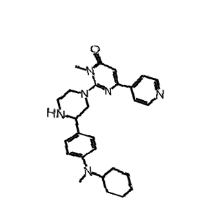 CN(c1ccc(C2CN(c3nc(-c4ccncc4)cc(=O)n3C)CCN2)cc1)C1CCCCC1